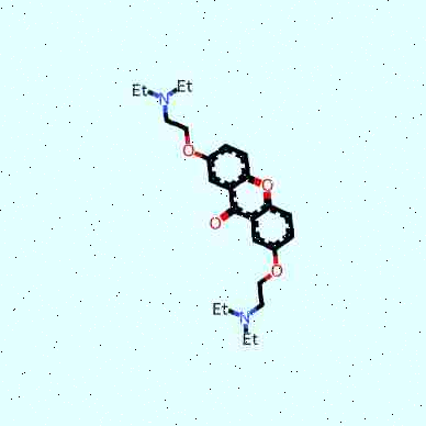 CCN(CC)CCOc1ccc2oc3ccc(OCCN(CC)CC)cc3c(=O)c2c1